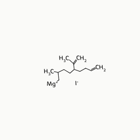 C=CCCC(CCC(C)[CH2][Mg+])C(=C)C.[I-]